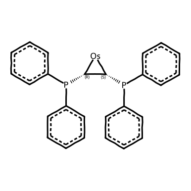 c1ccc(P(c2ccccc2)[C@@H]2[Os][C@@H]2P(c2ccccc2)c2ccccc2)cc1